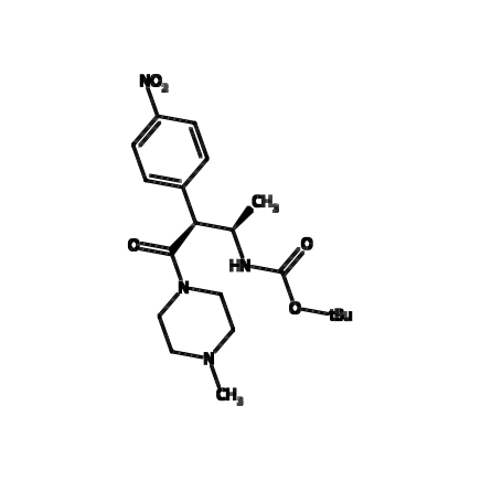 C[C@@H](NC(=O)OC(C)(C)C)[C@@H](C(=O)N1CCN(C)CC1)c1ccc([N+](=O)[O-])cc1